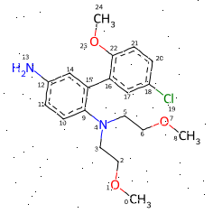 COCCN(CCOC)c1ccc(N)cc1-c1cc(Cl)ccc1OC